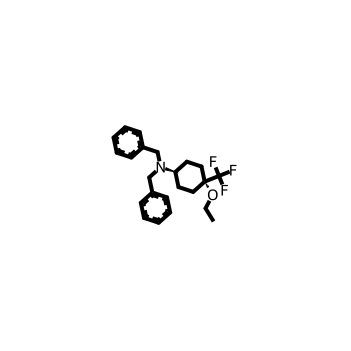 CCO[C@]1(C(F)(F)F)CC[C@@H](N(Cc2ccccc2)Cc2ccccc2)CC1